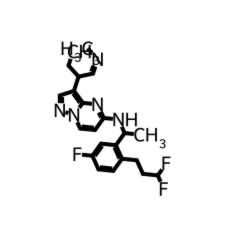 CCC(/C=N\C)c1cnn2ccc(NC(C)c3cc(F)ccc3CCC(F)F)nc12